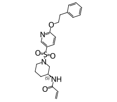 C=CC(=O)N[C@H]1CCCN(S(=O)(=O)c2ccc(OCCc3ccccc3)nc2)C1